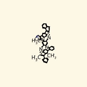 C/C=C\c1c(C)n(-c2cc(C#N)c(-n3c4c(c5cc6c(-c7ccccc7C)c(C)sc6cc53)CCC=C4)cc2C#N)c2cc3sc4ccc5ccccc5c4c3cc12